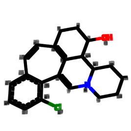 OC1CCC2=C3C(=CN4CCCCC4C31)c1c(Cl)cccc1C=C2